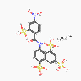 O=C(Nc1ccc(S(=O)(=O)O)c2cc(S(=O)(=O)O)cc(S(=O)(=O)O)c12)c1ccc([N+](=O)[O-])cc1S(=O)(=O)O.[Na].[Na].[Na].[Na]